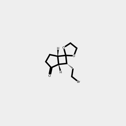 O=C1CC[C@H]2[C@@H]1[C@@H](CCBr)C21OCCO1